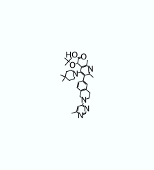 Cc1cc(N2CCc3cc(-c4c(C)nc(C)c(C(OC(C)(C)C)C(=O)O)c4N4CCC(C)(C)CC4)ccc3C2)ncn1